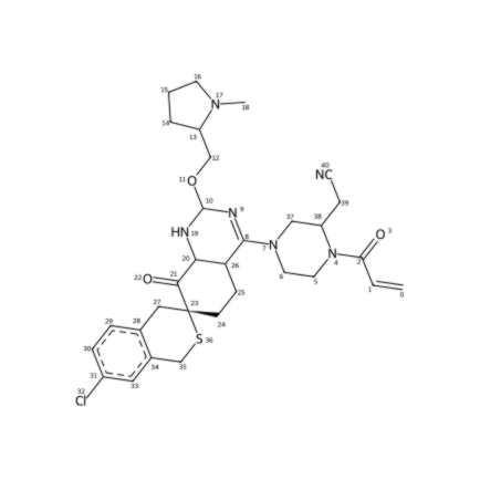 C=CC(=O)N1CCN(C2=NC(OCC3CCCN3C)NC3C(=O)[C@@]4(CCC23)Cc2ccc(Cl)cc2CS4)CC1CC#N